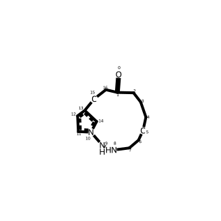 O=C1CCCCCCNNn2ccc(c2)CC1